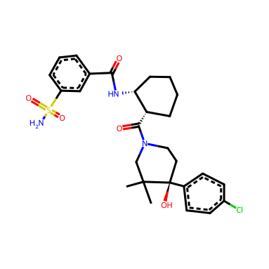 CC1(C)CN(C(=O)[C@H]2CCCC[C@H]2NC(=O)c2cccc(S(N)(=O)=O)c2)CC[C@]1(O)c1ccc(Cl)cc1